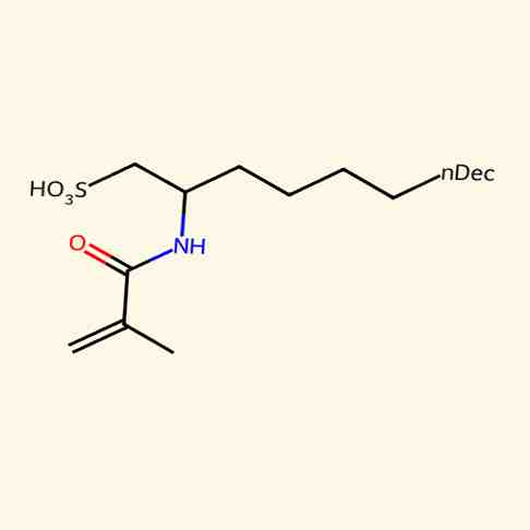 C=C(C)C(=O)NC(CCCCCCCCCCCCCC)CS(=O)(=O)O